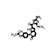 CSc1nc(N)nn1C(=O)c1cc2ccc(=O)n(-c3ccc(OC(C)C)cc3)c2[nH]1